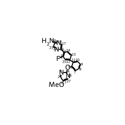 COc1cnc(Oc2ccccc2-c2ccc(-c3cnc(N)cn3)c(F)c2)nc1